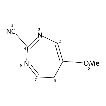 COC1=CN=C(C#N)N=CC1